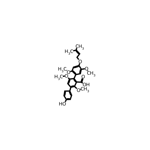 COc1cc(-c2c(OC)cc(-c3ccc(O)cc3)c(OC)c2C(=O)O)c(OC)cc1OCC=C(C)C